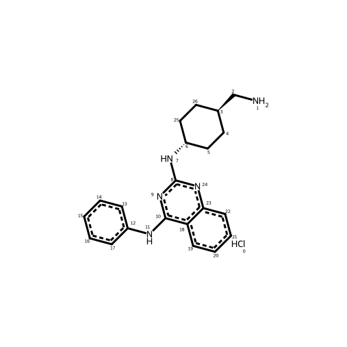 Cl.NC[C@H]1CC[C@H](Nc2nc(Nc3ccccc3)c3ccccc3n2)CC1